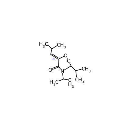 CC(C)/C=C1\OCC(C(C)C)N(C(C)C)C1=O